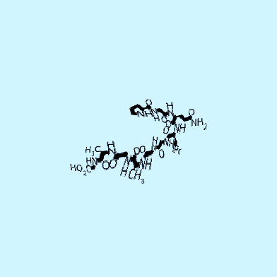 CC(C)C[C@H](NC(=O)[C@H](CCC(N)=O)NC(=O)CNC(=O)[C@@H]1CCCN1)C(=O)NCC(=O)NCC(=O)N[C@@H](C)C(=O)NCC(=O)N[C@@H](C)C(=O)NCC(=O)O